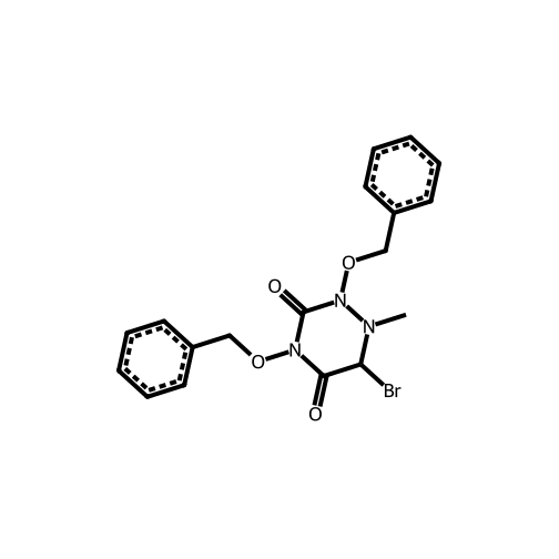 CN1C(Br)C(=O)N(OCc2ccccc2)C(=O)N1OCc1ccccc1